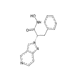 O=C(NO)C(Cc1ccccc1)n1cc2cnccc2n1